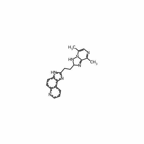 CC1=CN=C(C)C2=NC(CCc3nc4c(ccc5ncccc54)[nH]3)NN12